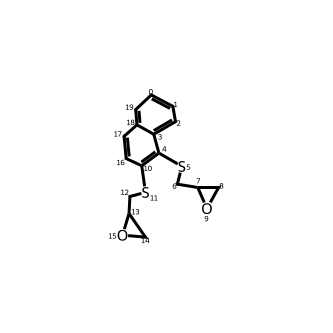 c1ccc2c(SCC3CO3)c(SCC3CO3)ccc2c1